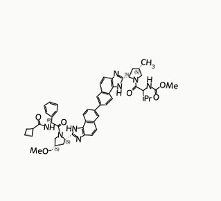 COC[C@H]1C[C@@H](c2nc3ccc4cc(-c5ccc6c(ccc7nc([C@@H]8C[C@H](C)CN8C(=O)C(NC(=O)OC)C(C)C)[nH]c76)c5)ccc4c3[nH]2)N(C(=O)[C@H](NC(=O)C2CCC2)c2ccccc2)C1